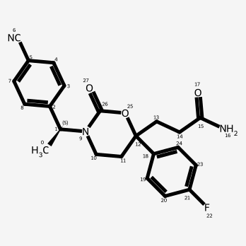 C[C@@H](c1ccc(C#N)cc1)N1CCC(CCC(N)=O)(c2ccc(F)cc2)OC1=O